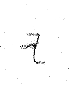 CCCCC/C=C\C/C=C\CCCCCCCCCC(=O)O[C@H](COC(=O)CCCCCCC/C=C\CCCCC)COP(=O)(O)OC[C@@H](O)CO